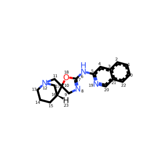 c1ccc2cc(NC3=NCC4(CN5CCC[C@@H]4C5)O3)ncc2c1